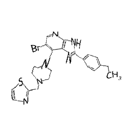 CCc1ccc(-c2nc3c(N4CCN(Cc5nccs5)CC4)c(Br)cnc3[nH]2)cc1